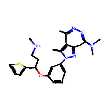 CNCCC(Oc1cccc(-n2nc3c(N(C)C)nnc(C)c3c2C)c1)c1cccs1